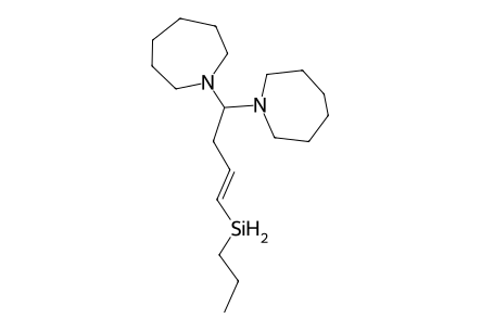 CCC[SiH2]C=CCC(N1CCCCCC1)N1CCCCCC1